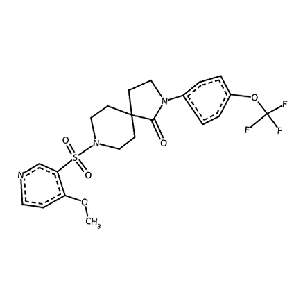 COc1ccncc1S(=O)(=O)N1CCC2(CCN(c3ccc(OC(F)(F)F)cc3)C2=O)CC1